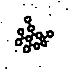 c1ccc(-c2ccc(N(c3cc(N(c4ccccc4)c4ccccc4)cc(N(c4ccccc4)c4ccccc4)c3)c3ccc4c(c3)c3ccccc3n4-c3ccccc3)cc2)cc1